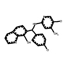 Cc1cc(NC(c2ccc(Cl)cc2)c2ccc3cccnc3c2O)ncc1Cl